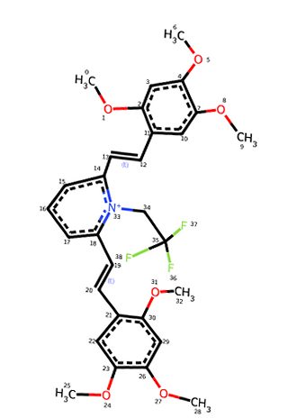 COc1cc(OC)c(OC)cc1/C=C/c1cccc(/C=C/c2cc(OC)c(OC)cc2OC)[n+]1CC(F)(F)F